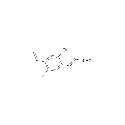 C=Cc1cc(O)c(/C=C/C=O)cc1C